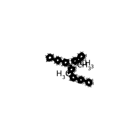 Cc1cc(N(c2ccc(-c3ccc(C4CCCCC4)cc3)cc2)c2ccc3c(c2)C(C)(C)c2ccccc2-3)ccc1-c1cccc(-c2ccc(C3CCCCC3)cc2)c1